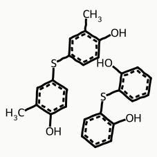 Cc1cc(Sc2ccc(O)c(C)c2)ccc1O.Oc1ccccc1Sc1ccccc1O